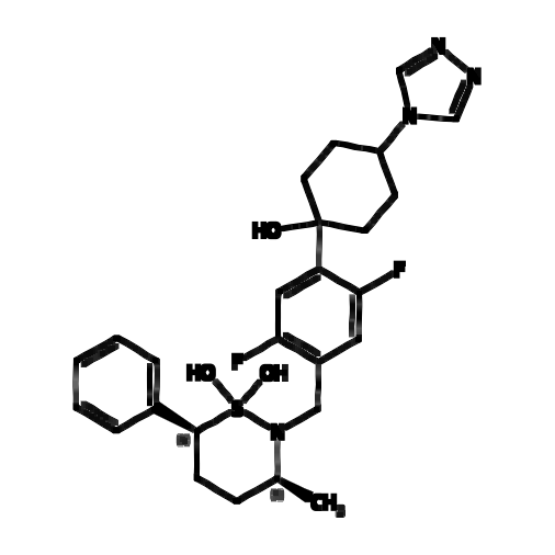 C[C@H]1CC[C@@H](c2ccccc2)S(O)(O)N1Cc1cc(F)c(C2(O)CCC(n3cnnc3)CC2)cc1F